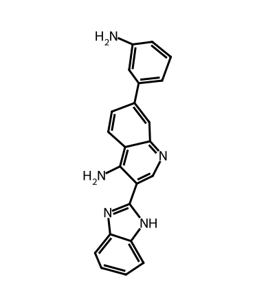 Nc1cccc(-c2ccc3c(N)c(-c4nc5ccccc5[nH]4)cnc3c2)c1